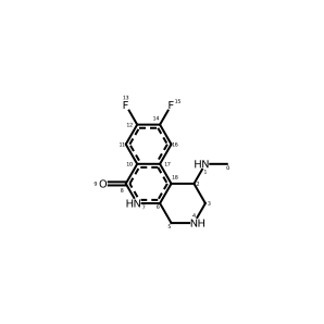 CNC1CNCc2[nH]c(=O)c3cc(F)c(F)cc3c21